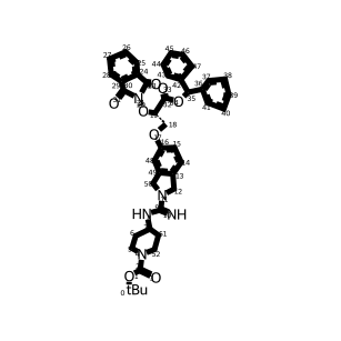 CC(C)(C)OC(=O)N1CCC(NC(=N)N2Cc3ccc(OC[C@H](ON4C(=O)c5ccccc5C4=O)C(=O)OC(c4ccccc4)c4ccccc4)cc3C2)CC1